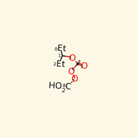 CCC(CC)OC(=O)OOC(=O)O